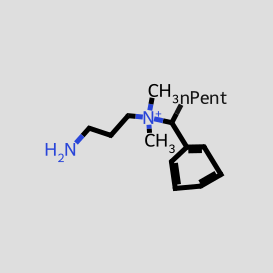 CCCCCC(c1ccccc1)[N+](C)(C)CCCN